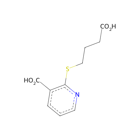 O=C(O)CCCSc1ncccc1C(=O)O